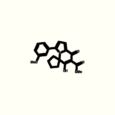 COC(=O)C1=C(O)C2(CCCC2)n2c(ccc2-c2cccc(OC)c2)C1=O